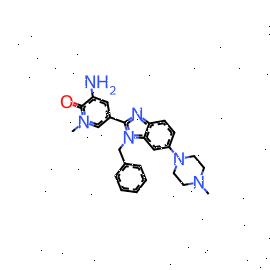 CN1CCN(c2ccc3nc(-c4cc(N)c(=O)n(C)c4)n(Cc4ccccc4)c3c2)CC1